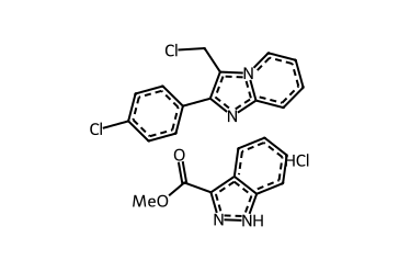 COC(=O)c1n[nH]c2ccccc12.Cl.ClCc1c(-c2ccc(Cl)cc2)nc2ccccn12